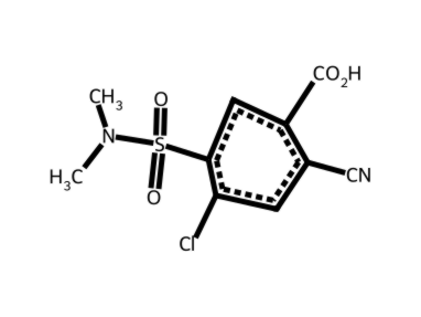 CN(C)S(=O)(=O)c1cc(C(=O)O)c(C#N)cc1Cl